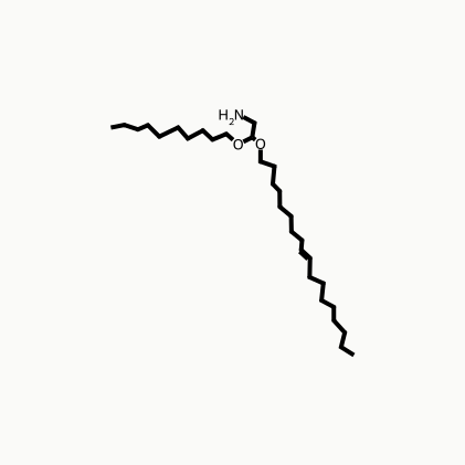 CCCCCCCCC=CCCCCCCCCOC(CN)OCCCCCCCCCC